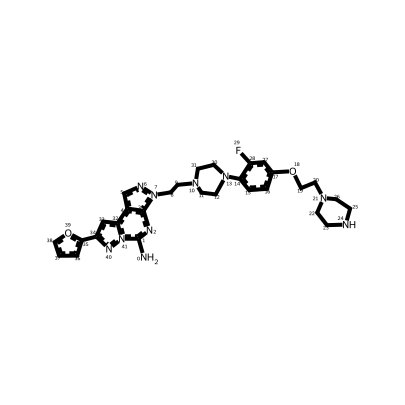 Nc1nc2c(cnn2CCN2CCN(c3ccc(OCCN4CCNCC4)cc3F)CC2)c2cc(-c3ccco3)nn12